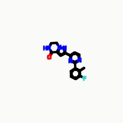 Cc1c(F)cccc1-c1nccc(-c2cc3n(n2)CCNC3=O)n1